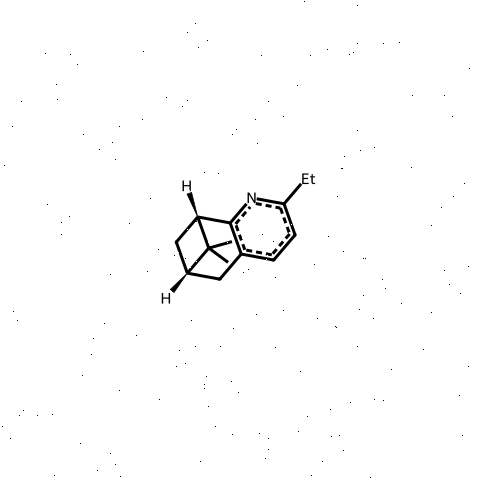 CCc1ccc2c(n1)[C@H]1C[C@@H](C2)C1(C)C